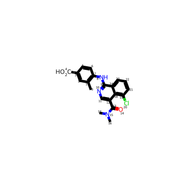 Cc1cc(C(=O)O)ccc1Nc1ncc(C(=O)N(C)C)c2c(Cl)cccc12